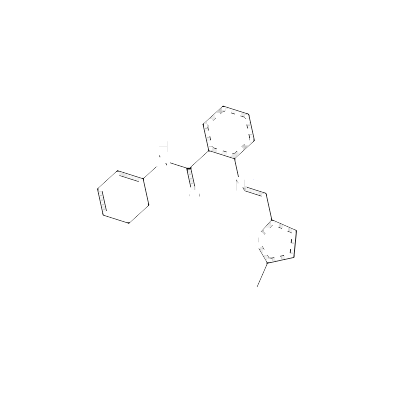 Cc1ccc(/C=N/c2ccccc2C(=O)NC2=CC=CCC2)o1